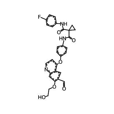 O=Cc1cc2c(Oc3ccc(NC(=O)C4(C(=O)Nc5ccc(F)cc5)CC4)cc3)ccnc2cc1OCCO